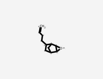 C=CCCC1CC2CC1C1OC21